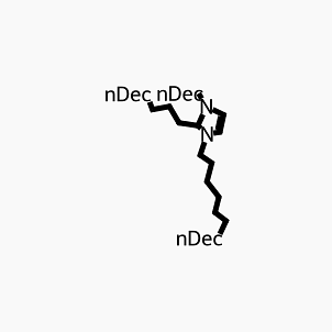 CCCCCCCCCCCCCCCCN1C=CN(CCCCCCCCCC)C1CCCCCCCCCCCCC